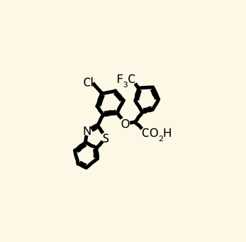 O=C(O)C(Oc1ccc(Cl)cc1-c1nc2ccccc2s1)c1cccc(C(F)(F)F)c1